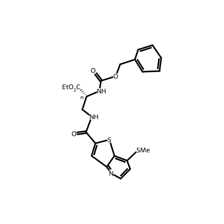 CCOC(=O)[C@@H](CNC(=O)c1cc2nccc(SC)c2s1)NC(=O)OCc1ccccc1